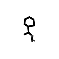 CCCO[C](C)C1CCCCC1